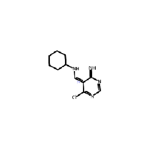 N=C1N=CN=C(Cl)/C1=C/NC1CCCCC1